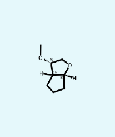 CO[C@@H]1CO[C@@H]2CCC[C@H]12